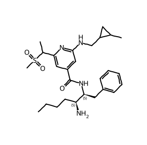 CCCC[C@H](N)[C@H](Cc1ccccc1)NC(=O)c1cc(NCC2CC2C)nc(C(C)S(C)(=O)=O)c1